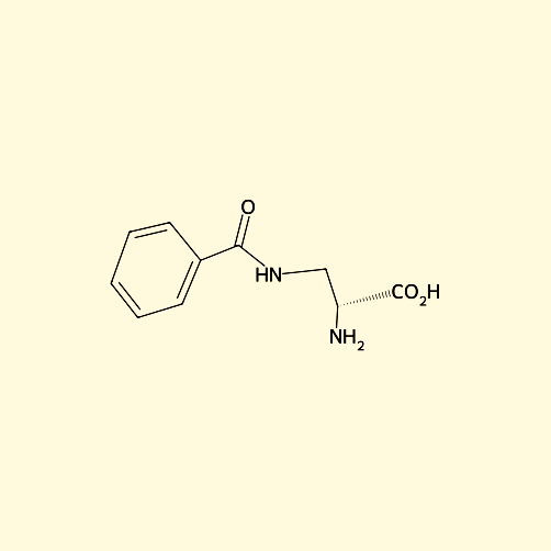 N[C@H](CNC(=O)c1ccccc1)C(=O)O